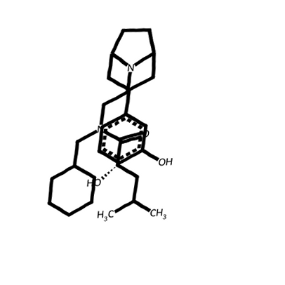 CC(C)C[C@H](O)C(=O)N(CCN1C2CCC1CC(c1cccc(O)c1)C2)CC1CCCCC1